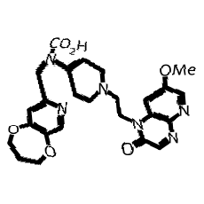 COc1cnc2ncc(=O)n(CCN3CCC(N(Cc4cc5c(cn4)OCCCO5)C(=O)O)CC3)c2c1